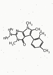 CCCN(CCC)c1nc2c(c(-c3ccc(C)cc3C)c(C)n2C)c(=O)n1C